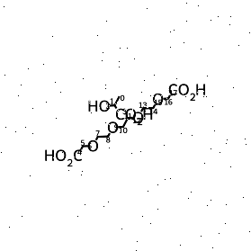 CC(O)C(=O)O.O=C(O)COCCOCCOCCOCC(=O)O